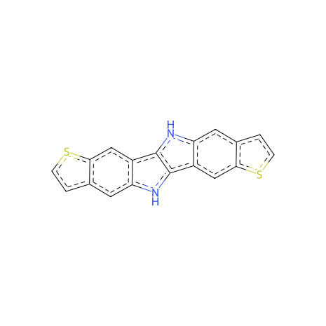 c1cc2cc3[nH]c4c5cc6sccc6cc5[nH]c4c3cc2s1